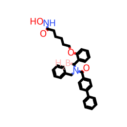 BC(c1ccccc1OCCCCCC(=O)NO)N(Cc1ccccc1)C(=O)c1ccc(-c2ccccc2)cc1